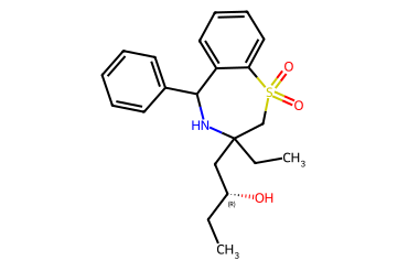 CC[C@@H](O)CC1(CC)CS(=O)(=O)c2ccccc2C(c2ccccc2)N1